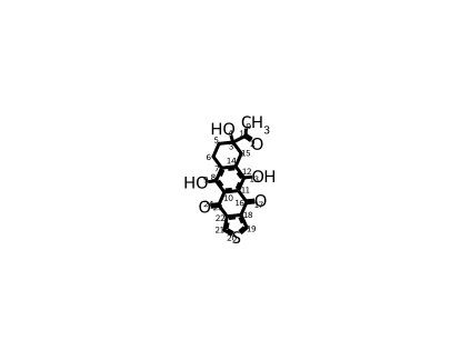 CC(=O)C1(O)CCc2c(O)c3c(c(O)c2C1)C(=O)c1cscc1C3=O